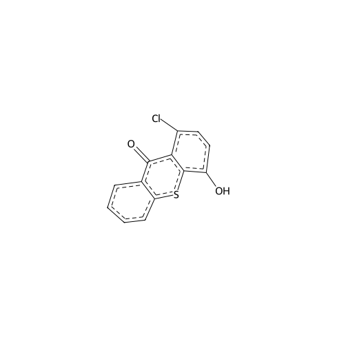 O=c1c2ccccc2sc2c(O)ccc(Cl)c12